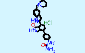 Cl.NC(=O)Nc1ccc(-c2ccc(-c3cc4cc(CN5CCCCC5)ccc4[nH]3)c3c2CNC3=O)cc1